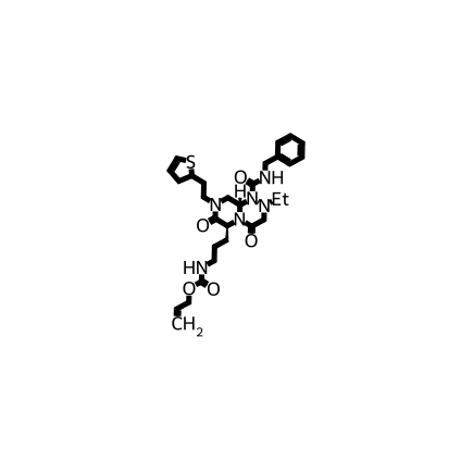 C=CCOC(=O)NCCC[C@H]1C(=O)N(CCC2CC=CS2)C[C@H]2N1C(=O)CN(CC)N2C(=O)NCc1ccccc1